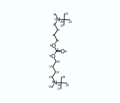 CN(CCCCOC(=O)OCCCCN(C)C(C)(C)C)C(C)(C)C